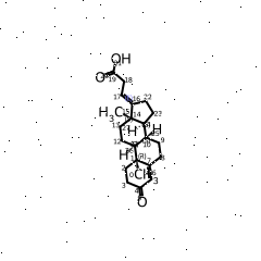 C[C@]12CCC(=O)C=C1CC[C@@H]1[C@@H]2CC[C@]2(C)/C(=C/CC(=O)O)CC[C@@H]12